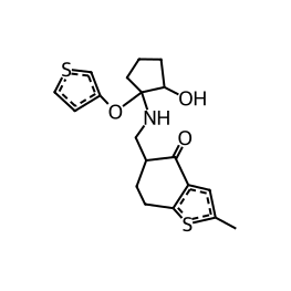 Cc1cc2c(s1)CCC(CNC1(Oc3ccsc3)CCCC1O)C2=O